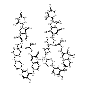 CNC(=O)COc1cc2cc(Nc3nc(N4CCC(CN5CCC6(CC5)CN(c5ccc7c(c5C(C)C)CN(C5CCC(=O)NC5=O)C7=O)C6)CC4)ncc3Cl)ccc2n(C(C)C)c1=O.CNC(=O)COc1cc2cc(Nc3nc(N4CCC(OC5CC(N6CCN(c7cc(F)c8c(c7F)CN(C7CCC(=O)NC7=O)C8=O)CC6)C5)CC4)ncc3Cl)ccc2n(C(C)C)c1=O